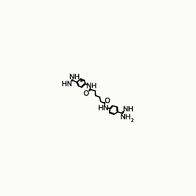 N=C(N)c1ccc(NC(=O)CCCCC(=O)Nc2ccc(C(=N)N)cc2)cc1